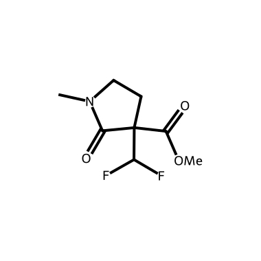 COC(=O)C1(C(F)F)CCN(C)C1=O